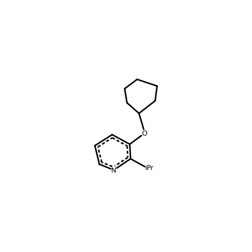 CC(C)c1ncccc1OC1CCCCC1